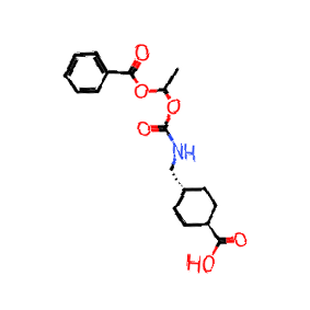 CC(OC(=O)NC[C@H]1CC[C@H](C(=O)O)CC1)OC(=O)c1ccccc1